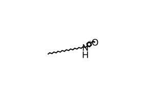 CCCCCCCCCCCCCCCCCCNc1ccc([C]=O)cc1